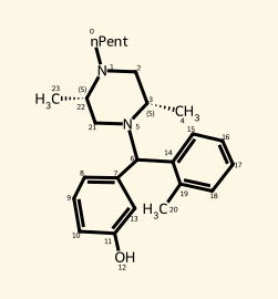 CCCCCN1C[C@H](C)N(C(c2cccc(O)c2)c2ccccc2C)C[C@@H]1C